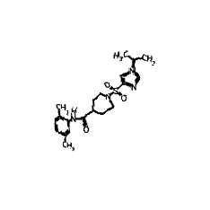 Cc1ccc(C)c(NC(=O)C2CCN(S(=O)(=O)c3cn(C(C)C)cn3)CC2)c1